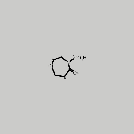 O=C(O)N1CCOCCC1=O